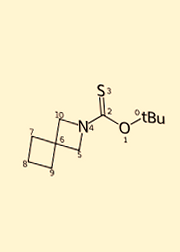 CC(C)(C)OC(=S)N1CC2(CCC2)C1